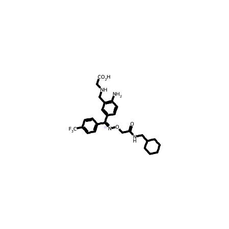 Nc1ccc(/C(=N\OCC(=O)NCC2CCCCC2)c2ccc(C(F)(F)F)cc2)cc1CNCC(=O)O